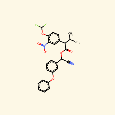 CC(C)C(C(=O)OC(C#N)c1cccc(Oc2ccccc2)c1)c1ccc(OC(F)F)c([N+](=O)[O-])c1